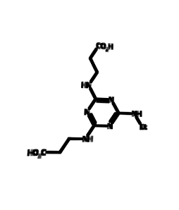 CCNc1nc(NCCC(=O)O)nc(NCCC(=O)O)n1